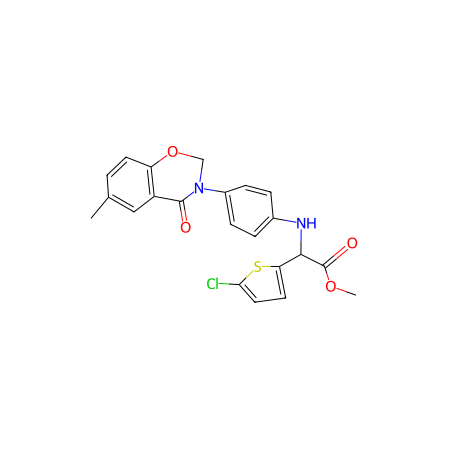 COC(=O)C(Nc1ccc(N2COc3ccc(C)cc3C2=O)cc1)c1ccc(Cl)s1